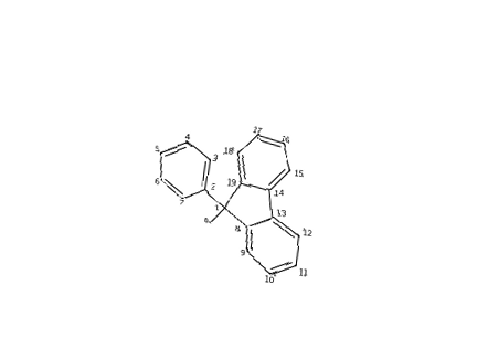 CC1(c2ccccc2)c2c[c]ccc2-c2cc[c]cc21